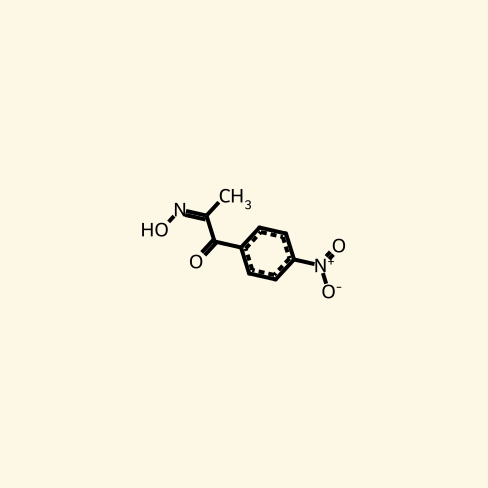 C/C(=N/O)C(=O)c1ccc([N+](=O)[O-])cc1